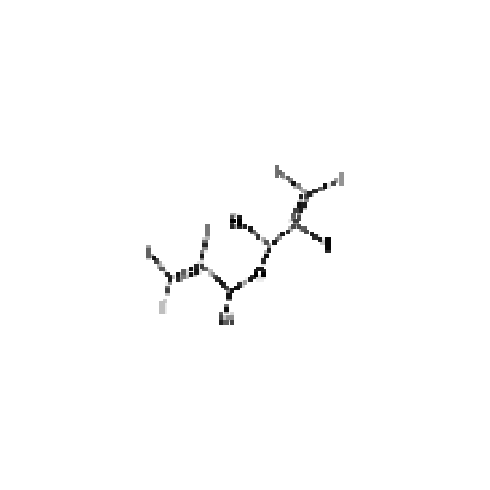 CCC(OC(CC)C(I)=C(I)I)C(I)=C(I)I